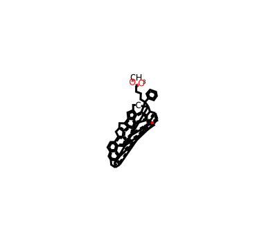 COC(=O)CCCC1(c2ccccc2)C23CCc4cc5c6c7c8c9c(c%10ccc%11cc%12c%13c%14c%15c%16c%17c%18c(c2c4c5c%18c7c%17c9c2c%10c%11c%13c%162)C%15C13C=C%14C%12)CC=8C6